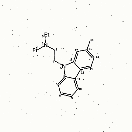 CCN(CC)CCn1c2ccccc2c2ccc(C)cc21